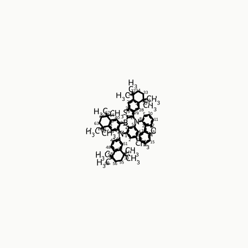 Cc1cc2c3c(c1)N(c1cccc4oc5ccccc5c14)c1c(sc4cc5c(cc14)C(C)(C)CCC5(C)C)B3c1cc3c(cc1N2c1ccc2c(c1)C(C)(C)CCC2(C)C)C(C)(C)CCC3(C)C